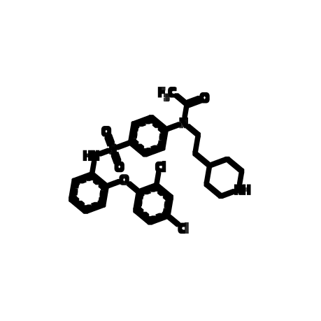 O=C(N(CCC1CCNCC1)c1ccc(S(=O)(=O)Nc2ccccc2Oc2ccc(Cl)cc2Cl)cc1)C(F)(F)F